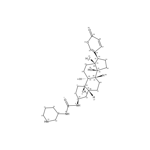 C[C@]12CC[C@H](NC(=O)NC3CCCNC3)C[C@H]1CC[C@@H]1[C@@H]2CC[C@]2(C)[C@@H](c3ccc(=O)oc3)CC[C@]12O